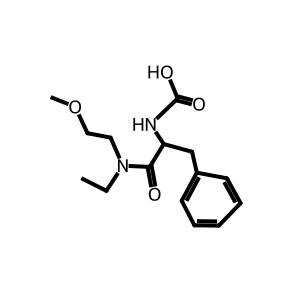 CCN(CCOC)C(=O)C(Cc1ccccc1)NC(=O)O